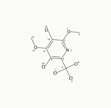 COc1nc(C(Cl)(Cl)Cl)c(Cl)c(OC)c1Cl